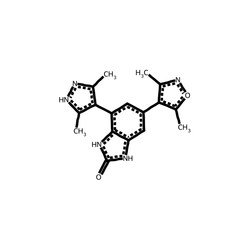 Cc1n[nH]c(C)c1-c1cc(-c2c(C)noc2C)cc2[nH]c(=O)[nH]c12